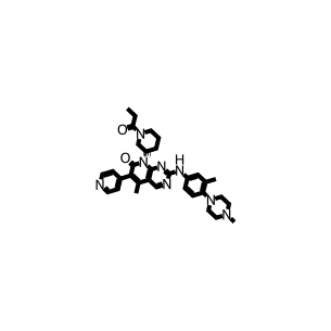 CCC(=O)N1CCC[C@H](n2c(=O)c(-c3ccncc3)c(C)c3cnc(Nc4ccc(N5CCN(C)CC5)c(C)c4)nc32)C1